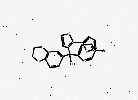 OC(c1ccc(Br)cc1)(c1ccc2c(c1)OCCO2)c1ccsc1-c1cccs1